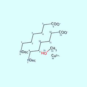 CCCCCCCCCCCCCCCC(=O)[O-].CCCCCCCCCCCCCCCC(=O)[O-].CO.[Cu+2]